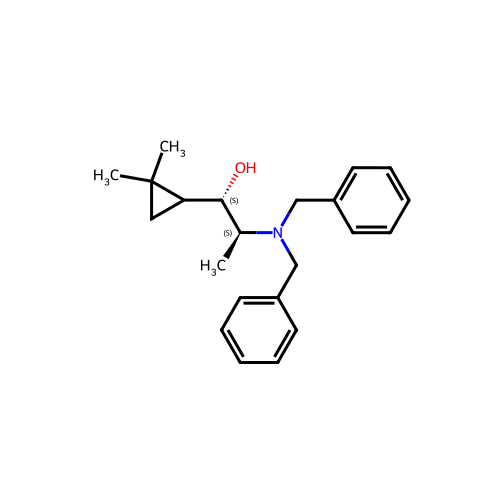 C[C@@H]([C@@H](O)C1CC1(C)C)N(Cc1ccccc1)Cc1ccccc1